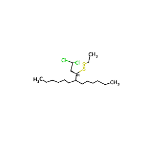 CCCCCCC(CCCCCC)[C@@H](CC(Cl)Cl)SSCC